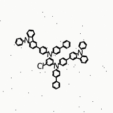 Clc1cc(N(c2ccc(-c3ccccc3)cc2)c2ccc(-c3ccc4c(c3)c3ccccc3n4-c3ccccc3)cc2)cc(N(c2ccc(-c3ccccc3)cc2)c2ccc(-c3ccc4c(c3)c3ccccc3n4-c3ccccc3)cc2)c1